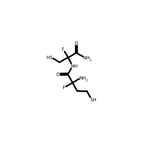 NC(=O)C(F)(CS)NC(=O)C(N)(F)CCS